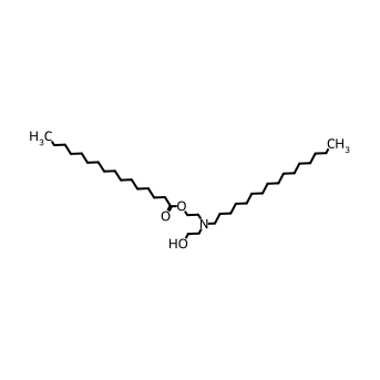 CCCCCCCCCCCCCCCCN(CCO)CCOC(=O)CCCCCCCCCCCCCCC